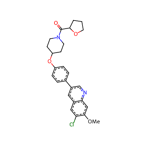 COc1cc2ncc(-c3ccc(OC4CCN(C(=O)C5CCCO5)CC4)cc3)cc2cc1Cl